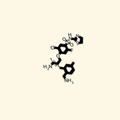 Cc1ccc(CN)c(C[C@@H](COc2cc(F)c(S(=O)(=O)Nc3nccs3)cc2Cl)[C@@H](C)N)c1